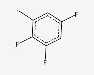 [CH]c1cc(F)cc(F)c1F